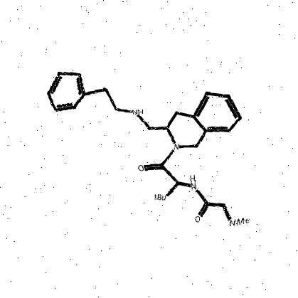 CNCC(=O)NC(C(=O)N1Cc2ccccc2CC1CNCCc1ccccc1)C(C)(C)C